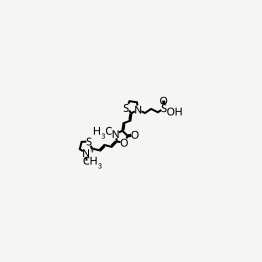 Cn1c(=CC=CC2=[N+](C)CCS2)oc(=O)c1=CC=C1SCCN1CCCS(=O)O